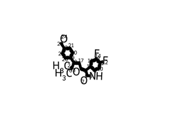 CC1(C)OC(=C2C(=O)Nc3cc(F)c(F)cc32)C=C1c1ccc(C=O)cc1